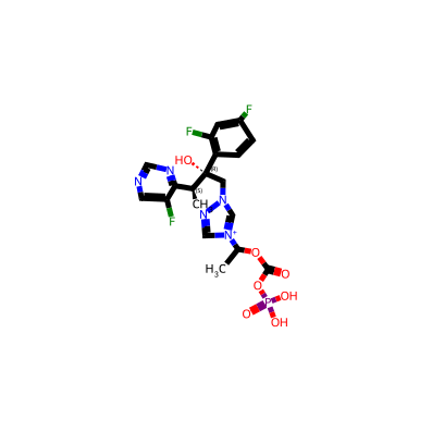 CC(OC(=O)OP(=O)(O)O)[n+]1cnn(C[C@](O)(c2ccc(F)cc2F)[C@@H](C)c2ncncc2F)c1